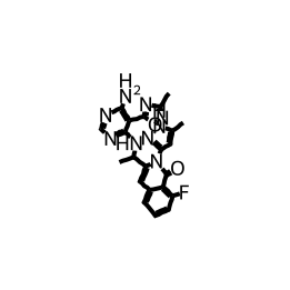 Cc1noc(-c2c(N)ncnc2NC(C)c2cc3cccc(F)c3c(=O)n2-c2cc(C)[nH]n2)n1